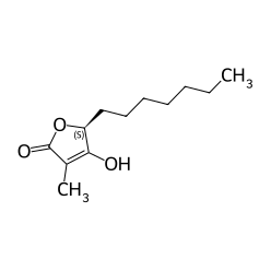 CCCCCCC[C@@H]1OC(=O)C(C)=C1O